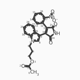 CC(=O)OCCCn1cc(C2=C(c3ccccc3[N+](=O)[O-])C(=O)NC2=O)c2ccccc21